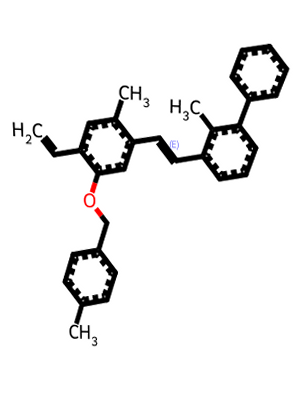 C=Cc1cc(C)c(/C=C/c2cccc(-c3ccccc3)c2C)cc1OCc1ccc(C)cc1